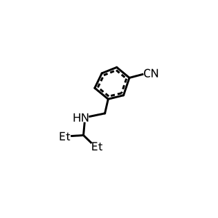 CCC(CC)NCc1cccc(C#N)c1